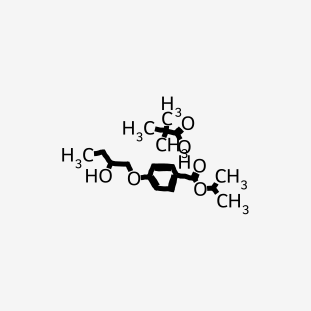 CC(C)(C)C(=O)O.CCC(O)COc1ccc(C(=O)OC(C)C)cc1